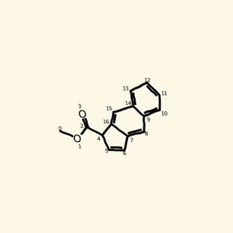 COC(=O)C1C=Cc2cc3ccccc3cc21